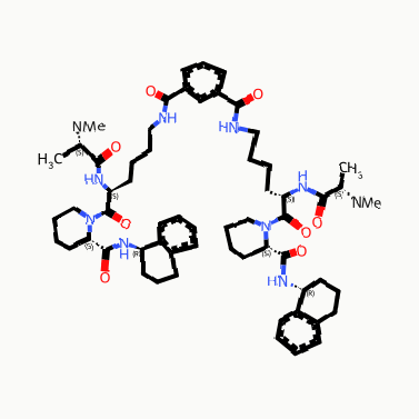 CN[C@@H](C)C(=O)N[C@@H](CCCCNC(=O)c1cccc(C(=O)NCCCC[C@H](NC(=O)[C@H](C)NC)C(=O)N2CCCC[C@H]2C(=O)N[C@@H]2CCCc3ccccc32)c1)C(=O)N1CCCC[C@H]1C(=O)N[C@@H]1CCCc2ccccc21